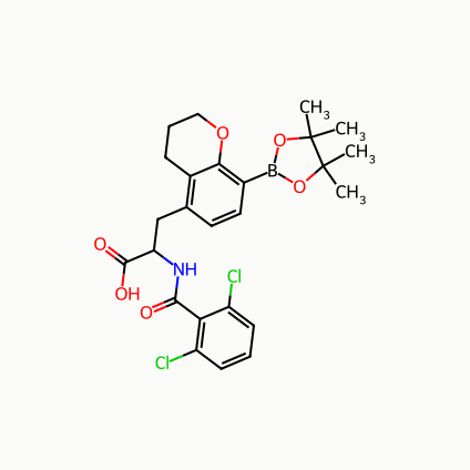 CC1(C)OB(c2ccc(CC(NC(=O)c3c(Cl)cccc3Cl)C(=O)O)c3c2OCCC3)OC1(C)C